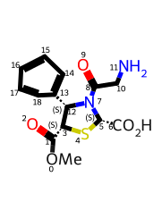 COC(=O)[C@H]1S[C@@H](C(=O)O)N(C(=O)CN)[C@H]1c1ccccc1